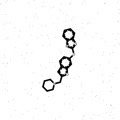 c1ccc2sc(Oc3ccc4cc(CN5CCCCC5)oc4c3)nc2c1